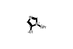 CCCn1cncc1CC